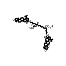 C=C(C)C1CCC2(C(=O)NCCCCC(CCCCCC(=O)C(CCCCNC(=O)C34CCC(C(=C)C)C3[C@H]3CC[C@@H]5[C@@]6(C)CCC(=O)C(C)(C)[C@@H]6CC[C@@]5(C)[C@]3(C)CC4)NC(=O)OC(C)(C)C)C(=O)O)CC[C@]3(C)[C@H](CC[C@@H]4[C@@]5(C)CCC(=O)C(C)(C)[C@@H]5CC[C@]43C)C12